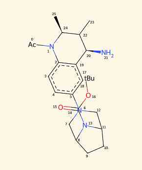 CC(=O)N1c2ccc(N3CC4CCC(C3)N4C(=O)OC(C)(C)C)cc2[C@H](N)C(C)[C@@H]1C